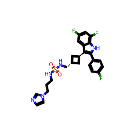 O=S(=O)(NCCCn1ccnc1)NC[C@H]1C[C@H](c2c(-c3ccc(F)cc3)[nH]c3c(F)cc(F)cc32)C1